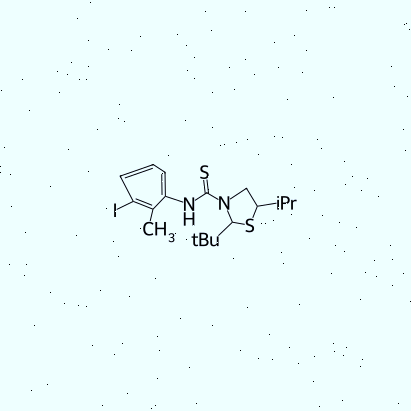 Cc1c(I)cccc1NC(=S)N1CC(C(C)C)SC1C(C)(C)C